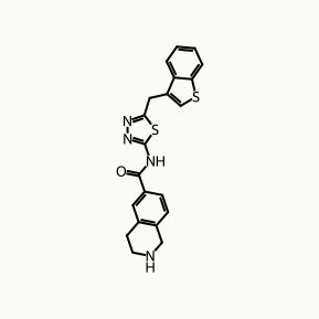 O=C(Nc1nnc(Cc2csc3ccccc23)s1)c1ccc2c(c1)CCNC2